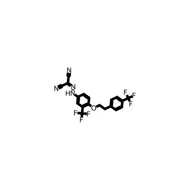 N#CC(C#N)=NNc1ccc(OCCc2ccc(C(F)(F)F)cc2)c(C(F)(F)F)c1